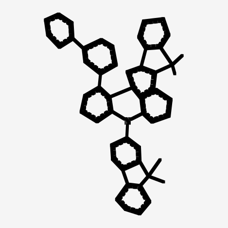 CC1(C)c2ccccc2-c2cc(-c3c(-c4cccc(-c5ccccc5)c4)cccc3N(c3ccccc3)c3ccc4c(c3)C(C)(C)c3ccccc3-4)ccc21